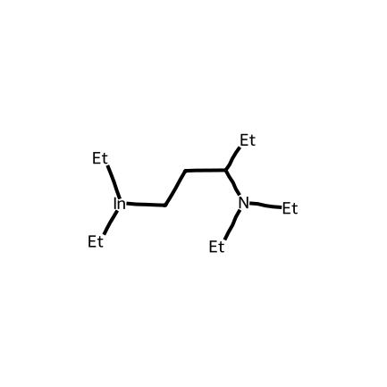 CCC(C[CH2][In]([CH2]C)[CH2]C)N(CC)CC